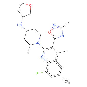 Cc1noc(-c2c(N3CC[C@@H](N[C@@H]4CCOC4)C[C@H]3C)nc3c(F)cc(C(F)(F)F)cc3c2C)n1